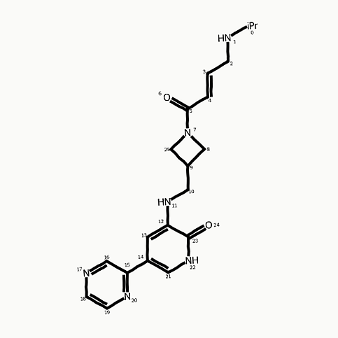 CC(C)NC/C=C/C(=O)N1CC(CNc2cc(-c3cnccn3)c[nH]c2=O)C1